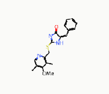 COc1c(C)cnc(CSC2=NC(=O)/C(=C\c3ccccc3)N2)c1C